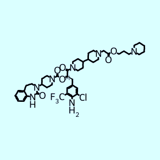 Nc1c(Cl)cc(C[C@@H](OC(=O)N2CCC(N3CCc4ccccc4NC3=O)CC2)C(=O)N2CCC(C3CCN(CC(=O)OCCCN4CCCCC4)CC3)CC2)cc1C(F)(F)F